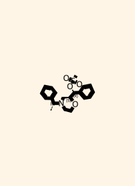 C[C@H](c1ccccc1)N1CCO[C@H]([C@H](OS(C)(=O)=O)c2ccccc2)C1